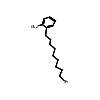 CCCCc1ccccc1CCCCCCCCCC(C)C